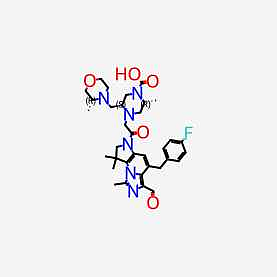 Cc1nc(C=O)c2c(Cc3ccc(F)cc3)cc3c(n12)C(C)(C)CN3C(=O)CN1C[C@@H](C)N(C(=O)O)C[C@@H]1CN1CCOC[C@H]1C